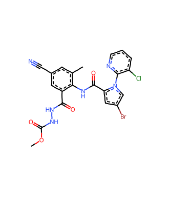 COC(=O)NNC(=O)c1cc(C#N)cc(C)c1NC(=O)c1cc(Br)cn1-c1ncccc1Cl